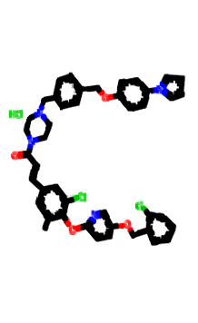 Cc1cc(C=CC(=O)N2CCN(Cc3ccc(COc4ccc(-n5cccc5)cc4)cc3)CC2)cc(Cl)c1Oc1ccc(OCc2ccccc2Cl)cn1.Cl